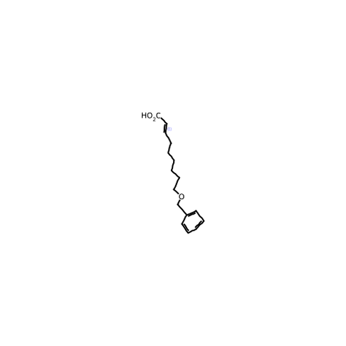 O=C(O)/C=C/CCCCCCOCc1ccccc1